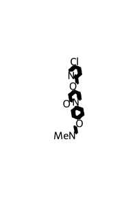 CNCCOc1ccc(-n2ccc(OCc3ccc(Cl)cn3)cc2=O)cc1